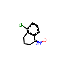 O/N=C1/CCCc2c(Cl)cccc21